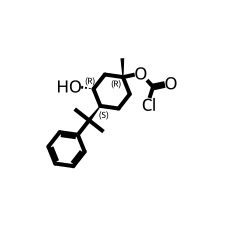 CC(C)(c1ccccc1)[C@@H]1CC[C@@](C)(OC(=O)Cl)C[C@H]1O